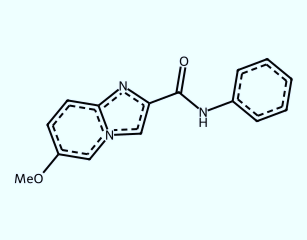 COc1ccc2nc(C(=O)Nc3ccccc3)cn2c1